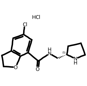 Cl.O=C(NC[C@@H]1CCCN1)c1cc(Cl)cc2c1OCC2